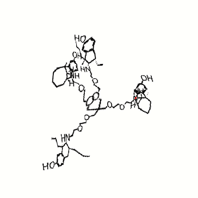 CCCC[C@]1(C)c2cc(O)ccc2C[C@H](CC)[C@@H]1NCCOCCOCC(COCCOCCN[C@H]1[C@@H](CCC)Cc2ccc(O)cc2[C@@]1(C)CCC)(COCCOCCN[C@H]1[C@H]2CCCCC[C@]1(C)c1cc(O)ccc1C2)COCCOCCN[C@H]1[C@H]2CCCCC[C@]1(C)c1cc(O)ccc1C2